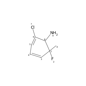 CC1(F)C=CC=C(Cl)C1N